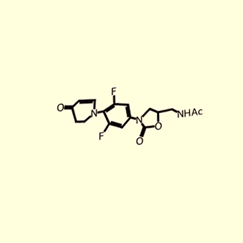 CC(=O)NCC1CN(c2cc(F)c(N3C=CC(=O)CC3)c(F)c2)C(=O)O1